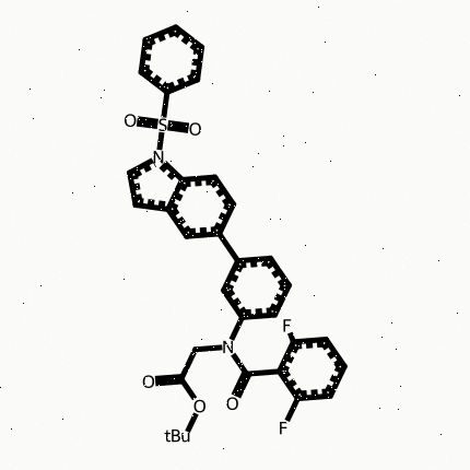 CC(C)(C)OC(=O)CN(C(=O)c1c(F)cccc1F)c1cccc(-c2ccc3c(ccn3S(=O)(=O)c3ccccc3)c2)c1